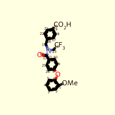 COc1ccccc1Oc1ccc(C(=O)N(Cc2ccc(C(=O)O)cc2)CC(F)(F)F)cc1